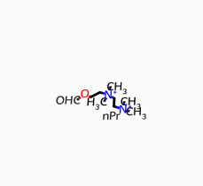 CCC[N+](C)(C)CC[N+](C)(C)CCOC=O